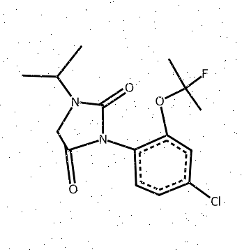 CC(C)N1CC(=O)N(c2ccc(Cl)cc2OC(C)(C)F)C1=O